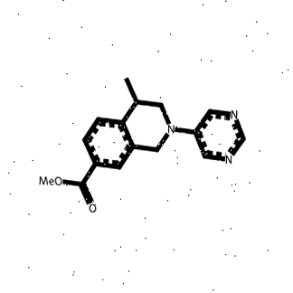 COC(=O)c1ccc2c(c1)CN(c1cncnc1)CC2C